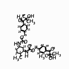 CC1CCC(NC(=O)OCc2ccc(C(=O)C(C)(C)O)cc2)CC1NC(=O)OCc1ccc(C(=O)C(C)(C)O)cc1